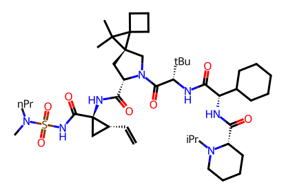 C=C[C@@H]1C[C@]1(NC(=O)[C@@H]1C[C@@]2(CN1C(=O)[C@@H](NC(=O)[C@@H](NC(=O)[C@@H]1CCCCN1C(C)C)C1CCCCC1)C(C)(C)C)C(C)(C)C21CCC1)C(=O)NS(=O)(=O)N(C)CCC